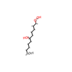 CCCCCCCCCCCCC(O)CCCCCOO